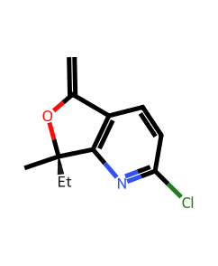 C=C1O[C@](C)(CC)c2nc(Cl)ccc21